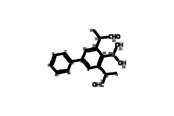 CC(C=O)c1cc(-c2ccccc2)cc(C(C)C=O)c1B(O)O